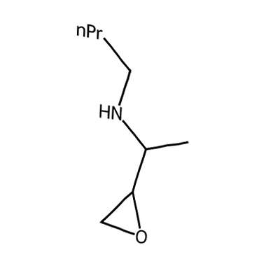 CCCCNC(C)C1CO1